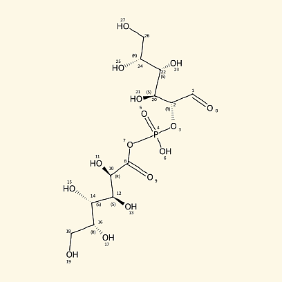 O=C[C@H](OP(=O)(O)OC(=O)[C@H](O)[C@@H](O)[C@@H](O)[C@H](O)CO)[C@@H](O)[C@@H](O)[C@H](O)CO